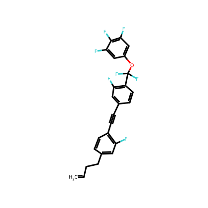 C=CCCc1ccc(C#Cc2ccc(C(F)(F)Oc3cc(F)c(F)c(F)c3)c(F)c2)c(F)c1